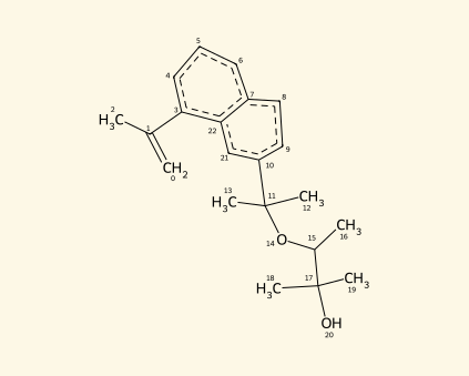 C=C(C)c1cccc2ccc(C(C)(C)OC(C)C(C)(C)O)cc12